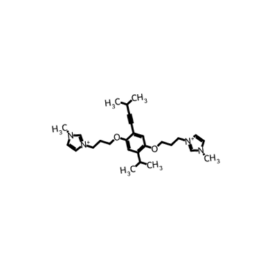 CC(C)C#Cc1cc(OCCC[n+]2ccn(C)c2)c(C(C)C)cc1OCCC[n+]1ccn(C)c1